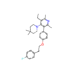 CCc1c(C)nc(C)c(-c2ccc(OCCc3ccc(F)cc3)cc2)c1N1CCC(C)(C)CC1